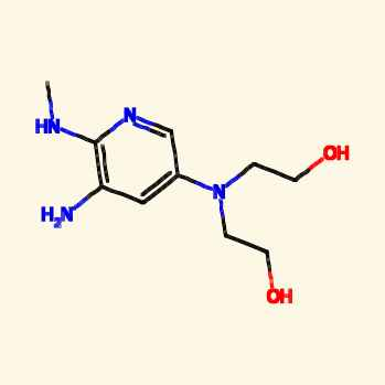 CNc1ncc(N(CCO)CCO)cc1N